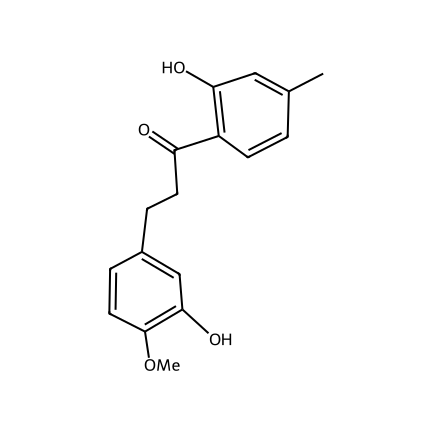 COc1ccc(CCC(=O)c2ccc(C)cc2O)cc1O